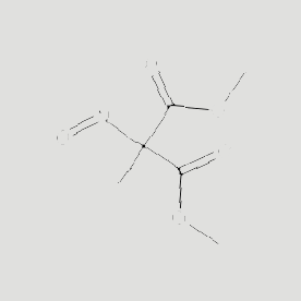 COC(=O)C(C)(N=O)C(=O)OC